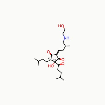 CC(C)CCC(=O)[C@@]1(O)C(=O)C(=CCC(C)CNCCO)C(=O)[C@@H]1CCC(C)C